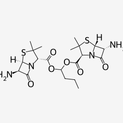 CCCC(OC(=O)[C@@H]1N2C(=O)[C@@H](N)[C@H]2SC1(C)C)OC(=O)[C@@H]1N2C(=O)[C@@H](N)[C@H]2SC1(C)C